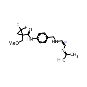 COCC1(C(=O)Nc2ccc(CN/C=C\N=C(C)C)cc2)CC1(F)F